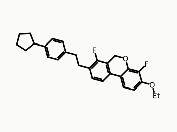 CCOc1ccc2c(c1F)OCc1c-2ccc(CCc2ccc(C3CCCC3)cc2)c1F